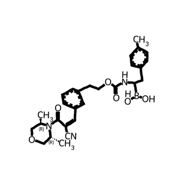 Cc1ccc(CC(NC(=O)OCCc2cccc(C=C(C#N)C(=O)N3[C@H](C)COC[C@H]3C)c2)B(O)O)cc1